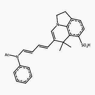 CC(=O)N(C=CC=CC1=CN2CCc3ccc(S(=O)(=O)O)c(c32)C1(C)C)c1ccccc1